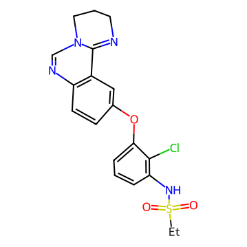 CCS(=O)(=O)Nc1cccc(Oc2ccc3c(c2)C2=NCCCN2C=N3)c1Cl